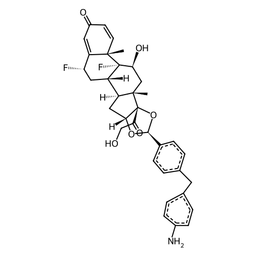 C[C@]12C=CC(=O)C=C1[C@@H](F)C[C@H]1[C@@H]3C[C@H]4O[C@H](c5ccc(Cc6ccc(N)cc6)cc5)O[C@@]4(C(=O)CO)[C@@]3(C)C[C@H](O)[C@@]12F